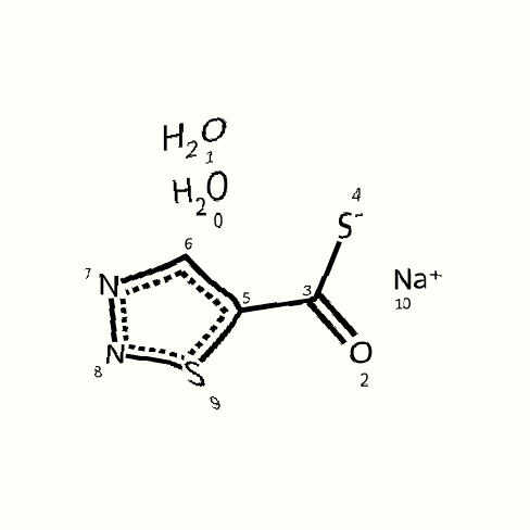 O.O.O=C([S-])c1cnns1.[Na+]